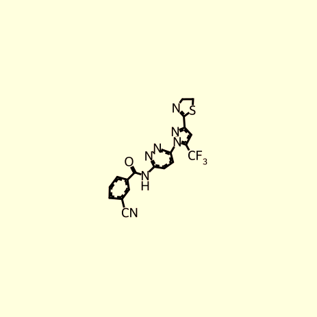 N#Cc1cccc(C(=O)Nc2ccc(-n3nc(C4=NCCS4)cc3C(F)(F)F)nn2)c1